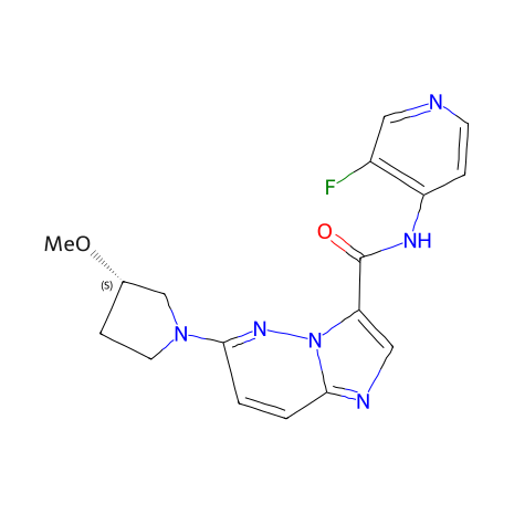 CO[C@H]1CCN(c2ccc3ncc(C(=O)Nc4ccncc4F)n3n2)C1